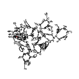 Cc1cc(C)c(-c2cc3c4c(c2)N(c2c(C)cc(C)cc2C)c2cc5c(cc2B4c2cc4c(cc2O3)Oc2cc(C)cc3c2B4c2sc4ccccc4c2O3)B2c3sc4ccccc4c3Oc3cc(C)cc(c32)N5)c(C)c1